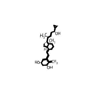 C=C1/C(=C/C=C2\CCC[C@]3(C)[C@@H]([C@H](C)/C=C/[C@@H](O)C4CC4)CC[C@@H]23)C[C@@H](O)C[C@@H]1O